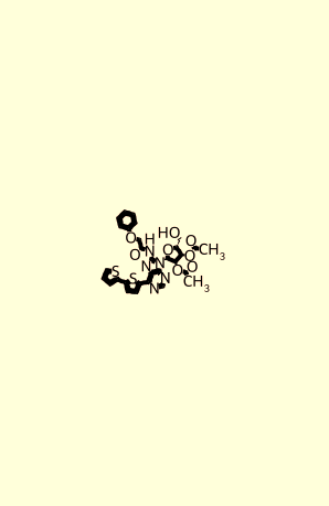 CC(=O)O[C@@H]1[C@H](OC(C)=O)[C@@H](CO)O[C@H]1n1c(NC(=O)COc2ccccc2)nc2c(-c3ccc(-c4cccs4)s3)ncnc21